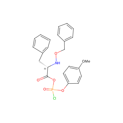 COc1ccc(OP(=O)(Cl)OC(=O)[C@H](Cc2ccccc2)NOCc2ccccc2)cc1